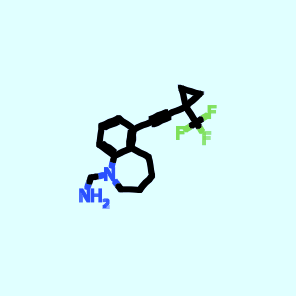 NCN1CCCCc2c(C#CC3(C(F)(F)F)CC3)cccc21